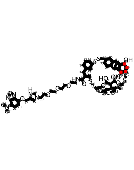 O=C(NCCOCCOCCOCCN1C=C(COc2ccc([N+](=O)[O-])c3nonc23)NC1)c1cc2cccc3c2cc1SSc1ccc2c(c1)Cc1ccc(cc1C2C(C(=O)O)C(=O)O)SSc1ccc2c(c1)C1c4ccc(cc4C2C(C(=O)O)C1C(=O)O)SS3